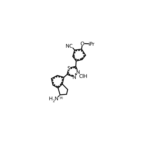 CC(C)Oc1ccc(-c2nnc(-c3cccc4c3CC[C@H]4N)s2)cc1C#N.Cl